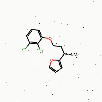 CNC(CCOc1cccc(Cl)c1Cl)c1ccco1